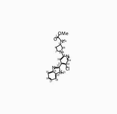 COC(=O)N(C)C1CCN(c2cc(-c3nc4ccccc4n3C)c(Cl)cn2)C1